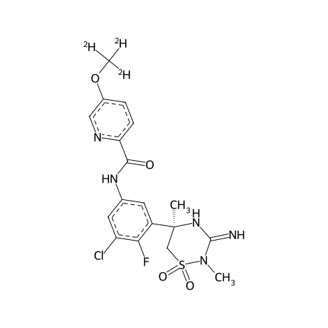 [2H]C([2H])([2H])Oc1ccc(C(=O)Nc2cc(Cl)c(F)c([C@]3(C)CS(=O)(=O)N(C)C(=N)N3)c2)nc1